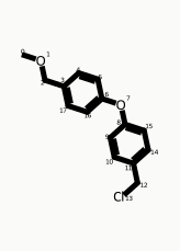 COCc1ccc(Oc2ccc(CCl)cc2)cc1